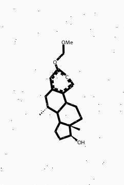 COCOc1ccc2c(c1)C[C@@H](C)C1C2CC[C@@]2(C)C1CC[C@@H]2O